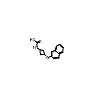 O=C(O)NC1CC(Oc2ccc3ccccc3c2)C1